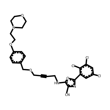 N#Cc1nc(-c2cc(Cl)cc(Cl)c2Cl)oc1NCC#CCOCc1ccc(OCCN2CCOCC2)cc1